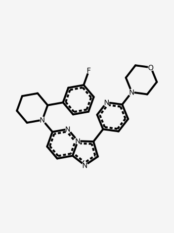 Fc1cccc(C2CCCCN2c2ccc3ncc(-c4ccc(N5CCOCC5)nc4)n3n2)c1